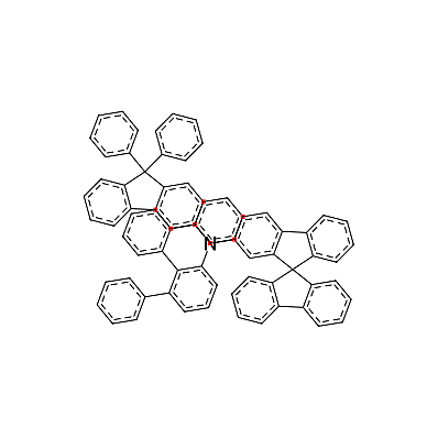 c1ccc(-c2ccccc2-c2c(-c3ccccc3)cccc2N(c2ccc3c(c2)-c2ccccc2C3(c2ccccc2)c2ccccc2)c2ccc3c(c2)C2(c4ccccc4-c4ccccc42)c2ccccc2-3)cc1